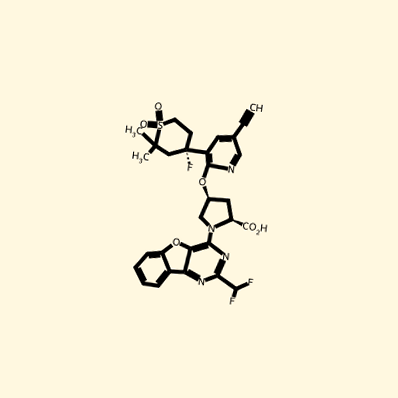 C#Cc1cnc(O[C@H]2C[C@@H](C(=O)O)N(c3nc(C(F)F)nc4c3oc3ccccc34)C2)c([C@]2(F)CCS(=O)(=O)C(C)(C)C2)c1